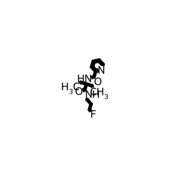 CCC(CC)(NC(=O)c1ccccn1)C(=O)NCCCF